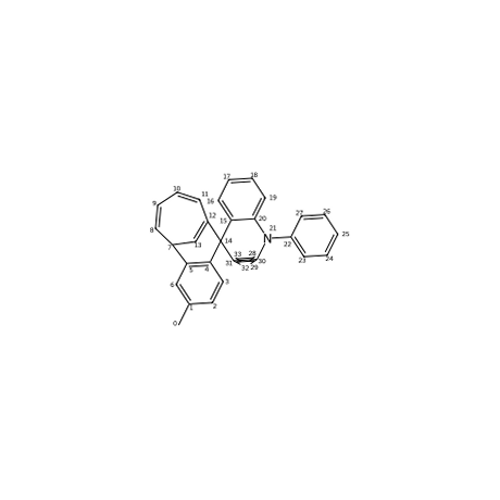 Cc1ccc2c(c1)C1C=CC=CC(=C1)C21c2ccccc2N(c2ccccc2)c2ccccc21